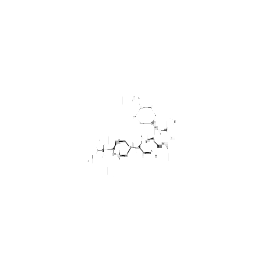 CC(C)(OI)c1ccc(-c2cnc3c(n2)N([C@H]2CC[C@H](O)CC2)C(=O)CN3)cn1